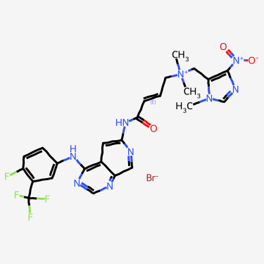 Cn1cnc([N+](=O)[O-])c1C[N+](C)(C)C/C=C/C(=O)Nc1cc2c(Nc3ccc(F)c(C(F)(F)F)c3)ncnc2cn1.[Br-]